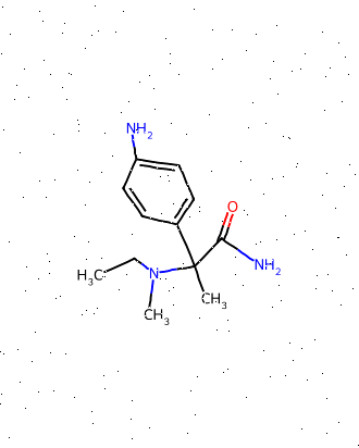 CCN(C)C(C)(C(N)=O)c1ccc(N)cc1